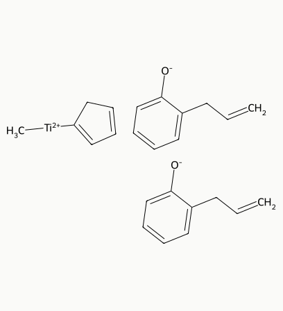 C=CCc1ccccc1[O-].C=CCc1ccccc1[O-].[CH3][Ti+2][C]1=CC=CC1